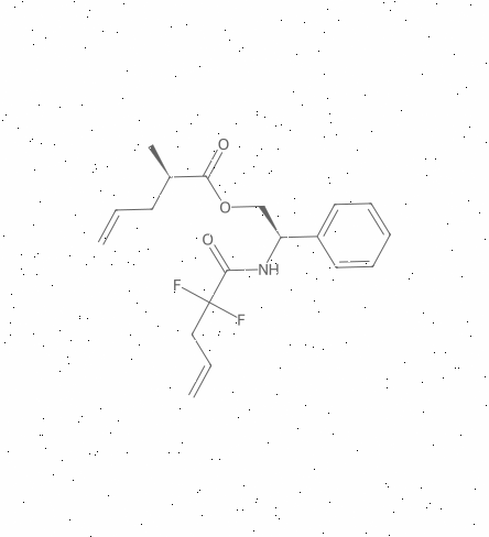 C=CC[C@@H](C)C(=O)OC[C@H](NC(=O)C(F)(F)CC=C)c1ccccc1